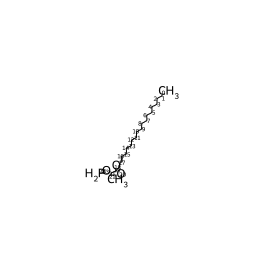 CCCCCCCCCCCCCCCCC=COC(=O)C(C)OP